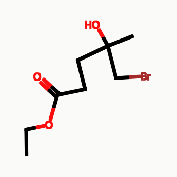 CCOC(=O)CCC(C)(O)CBr